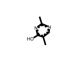 Cc1ncc(C)c(O)n1